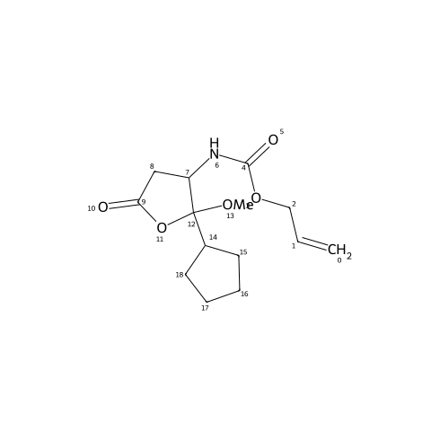 C=CCOC(=O)NC1CC(=O)OC1(OC)C1CCCC1